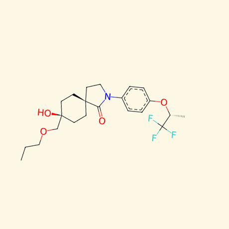 CCCOC[C@]1(O)CC[C@]2(CCN(c3ccc(O[C@H](C)C(F)(F)F)cc3)C2=O)CC1